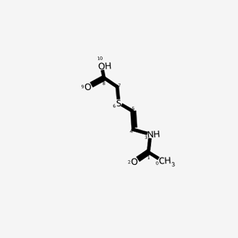 CC(=O)NC=CSCC(=O)O